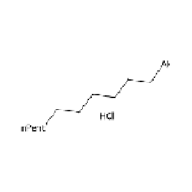 CCCCCCCCCC[CH2][Al].Cl